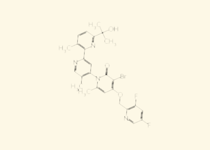 Cc1cnc(-c2nc(C(C)(C)O)ccc2C)cc1-n1c(C)cc(OCc2ncc(F)cc2F)c(Br)c1=O